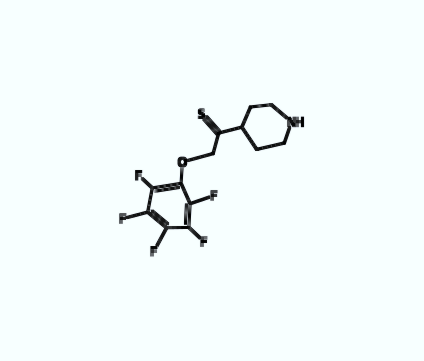 Fc1c(F)c(F)c(OCC(=S)C2CCNCC2)c(F)c1F